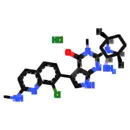 CNc1ccc2ccc(-c3c[nH]c4nc(N5[C@H]6CC[C@@H]5[C@H](N)C6)n(C)c(=O)c34)c(Cl)c2n1.Cl